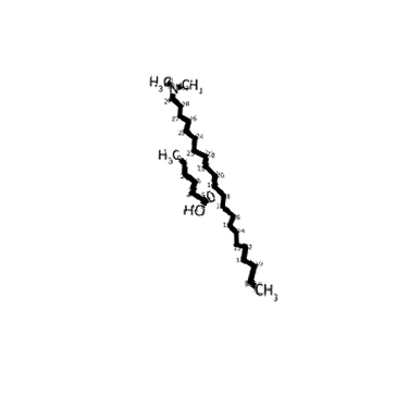 CCCCCC(=O)O.CCCCCCCCCCCCCCCCCCCCCCN(C)C